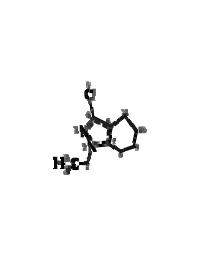 CCn1nc(Cl)c2c1CCCC2